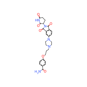 NC(=O)c1ccc(OCCCN2CCN(c3ccc4c(c3)C(=O)N(C3CCC(=O)NC3=O)C4=O)CC2)cc1